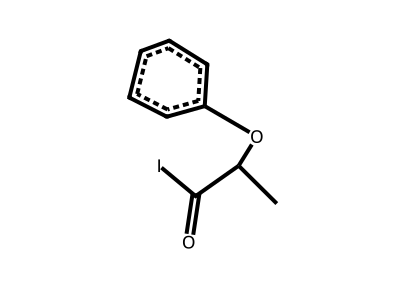 CC(Oc1ccccc1)C(=O)I